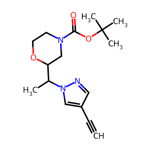 C#Cc1cnn(C(C)C2CN(C(=O)OC(C)(C)C)CCO2)c1